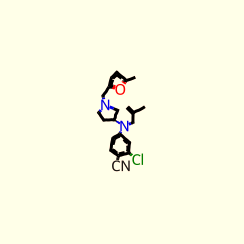 C=C(C)CN(c1ccc(C#N)c(Cl)c1)[C@H]1CCN(Cc2ccc(C)o2)C1